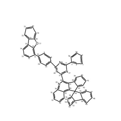 c1ccc(-c2nc(-c3ccc(-c4cccc5c4oc4ccccc45)cc3)nc(-c3nc4ccccc4c4c3-c3ccccc3C43c4ccccc4-c4ccccc43)n2)cc1